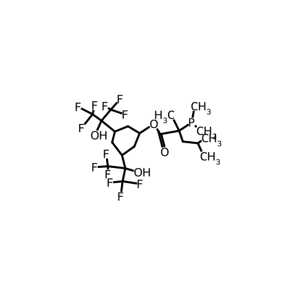 CC(C)CC(C)(C(=O)OC1CC(C(O)(C(F)(F)F)C(F)(F)F)CC(C(O)(C(F)(F)F)C(F)(F)F)C1)P(C)C